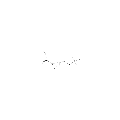 COC(=O)C1CN1CCC(C)(C)C